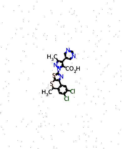 Cc1nn(-c2nc3c(s2)SC(C)c2cc(Cl)c(Cl)cc2-3)c(C(=O)O)c1-c1cncnc1